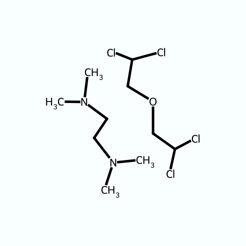 CN(C)CCN(C)C.ClC(Cl)COCC(Cl)Cl